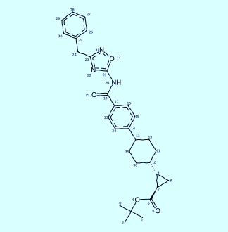 CC(C)(C)OC(=O)[C@@H]1C[C@H]1C1CCC(c2ccc(C(=O)Nc3nc(Cc4ccccc4)no3)cc2)CC1